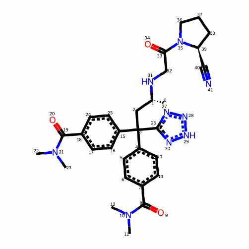 C[C@H](CC(c1ccc(C(=O)N(C)C)cc1)(c1ccc(C(=O)N(C)C)cc1)c1nn[nH]n1)NCC(=O)N1CCC[C@H]1C#N